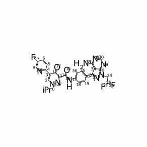 CC(C)n1cc(-c2ccc(F)cn2)c(=O)c(C(=O)Nc2ccc(-c3nn(CC(F)F)c4ncnc(N)c34)cc2)n1